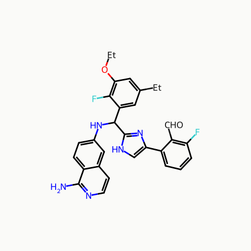 CCOc1cc(CC)cc(C(Nc2ccc3c(N)nccc3c2)c2nc(-c3cccc(F)c3C=O)c[nH]2)c1F